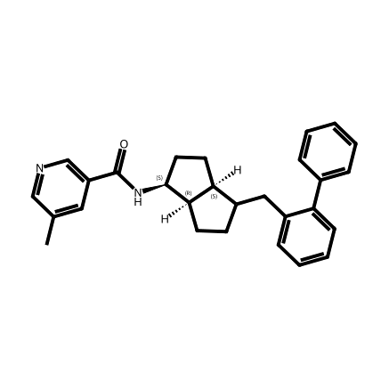 Cc1cncc(C(=O)N[C@H]2CC[C@H]3C(Cc4ccccc4-c4ccccc4)CC[C@@H]23)c1